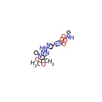 CC(=O)c1c(C)c2cnc(Nc3ccc(N4CCN(S(=O)(=O)OC(=O)NC5CCC5)CC4)cn3)nc2n(C2CCCC2)c1=O